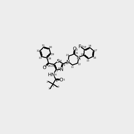 CC(C)(C)C(=O)Nc1nc(N2CCN(c3ccccc3F)C(=O)C2)sc1C(=O)c1ccccc1